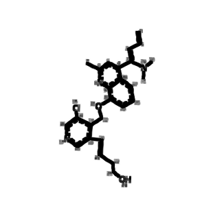 C=C/C=C(/c1cc(C)nc2c(OCc3c(Cl)cncc3/C=C/CCO)cccc12)N(C)C